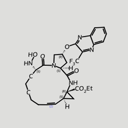 CCOC(=O)[C@@]12C[C@H]1/C=C\CCCCC[C@H](NO)C(=O)N1C[C@H](Oc3nc4ccccc4nc3C(F)(F)F)C[C@H]1C(=O)N2